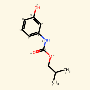 CC(C)COC(=O)Nc1cccc(O)c1